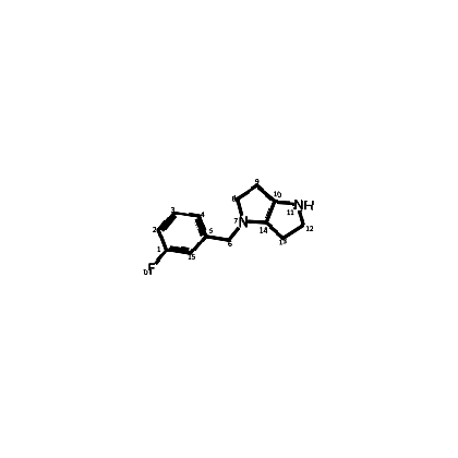 Fc1cccc(CN2CCC3NCCC32)c1